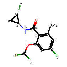 COc1cc(Br)cc(OC(F)F)c1C(=O)N[C@@H]1C[C@@H]1F